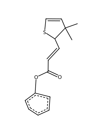 CC1(C)C=CSC1C=CC(=O)Oc1ccccc1